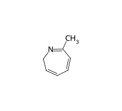 CC1=NCC=CC=C1